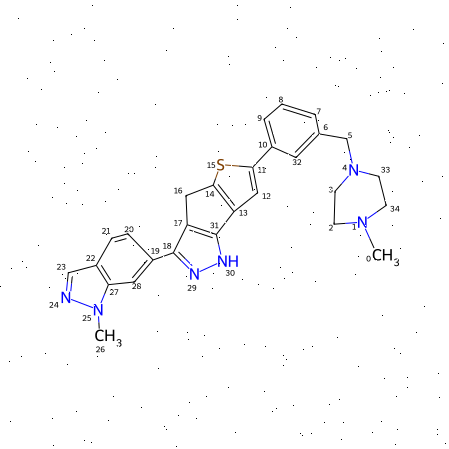 CN1CCN(Cc2cccc(-c3cc4c(s3)Cc3c(-c5ccc6cnn(C)c6c5)n[nH]c3-4)c2)CC1